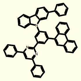 c1ccc(-c2ccc3c4ccccc4n(-c4cc(-c5nc(-c6ccccc6)cc(-c6ccccc6)n5)cc(-c5cc6ccccc6c6ccccc56)c4)c3c2)cc1